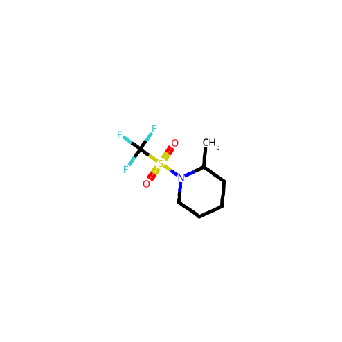 CC1CCCCN1S(=O)(=O)C(F)(F)F